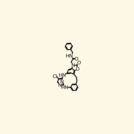 O=C(Cn1c(=O)oc2c3cc(cc21)Nc1nc(ncc1Cl)Nc1cccc(c1)CC3)NCc1ccccc1